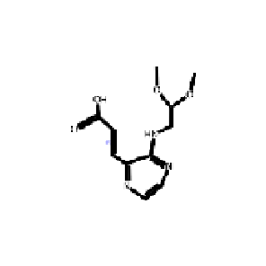 COC(CNc1nccnc1/C=C/C(=O)O)OC